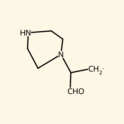 [CH2]C(C=O)N1CCNCC1